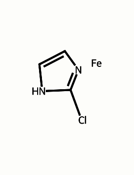 Clc1ncc[nH]1.[Fe]